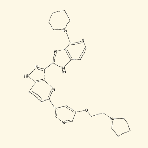 c1cc2[nH]c(-c3n[nH]c4ccc(-c5cncc(OCCN6CCCC6)c5)nc34)nc2c(N2CCCCC2)n1